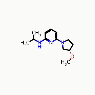 CO[C@H]1CCN(c2cccc(NC(C)C)n2)C1